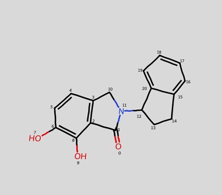 O=C1c2c(ccc(O)c2O)CN1C1CCc2ccccc21